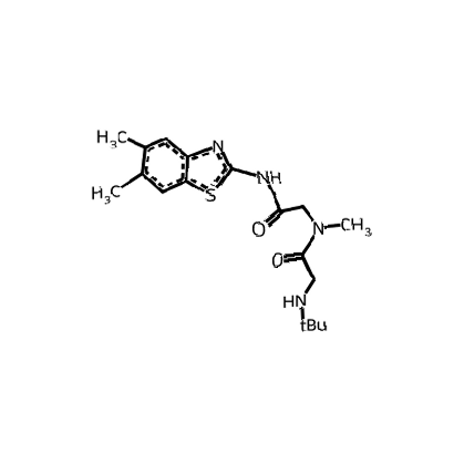 Cc1cc2nc(NC(=O)CN(C)C(=O)CNC(C)(C)C)sc2cc1C